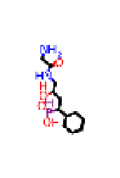 NCC(=O)NC[C@H](O)CC(C1CCCCC1)[PH](=O)O